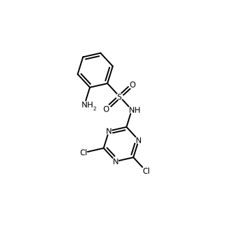 Nc1ccccc1S(=O)(=O)Nc1nc(Cl)nc(Cl)n1